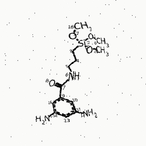 CO[Si](CCCNC(=O)c1cc(N)cc(N)c1)(OC)OC